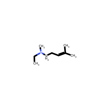 CCN(C)[SiH2]CC=C(C)C